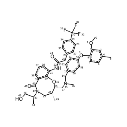 COc1cc(C)ccc1Oc1ccc(CN(C)C[C@H]2Oc3c(NC(=O)Cc4ccc(C(F)(F)F)cc4)cccc3C(=O)N([C@@H](C)CO)C[C@H]2C)cc1